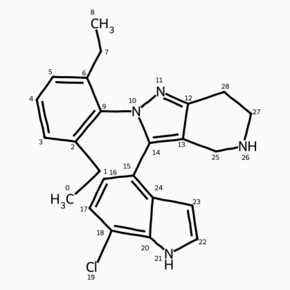 CCc1cccc(CC)c1-n1nc2c(c1-c1ccc(Cl)c3[nH]ccc13)CNCC2